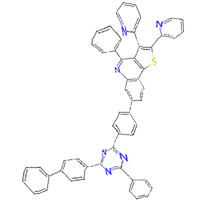 c1ccc(-c2ccc(-c3nc(-c4ccccc4)nc(-c4ccc(-c5ccc6c(c5)nc(-c5ccccc5)c5c(-c7ccccn7)c(-c7ccccn7)sc56)cc4)n3)cc2)cc1